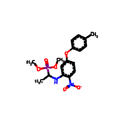 COP(=O)(OC)C(C)Nc1cc(Oc2ccc(C)cc2)ccc1[N+](=O)[O-]